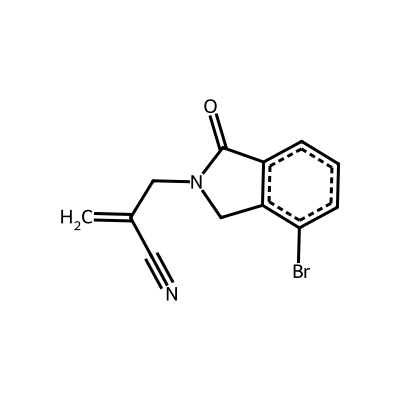 C=C(C#N)CN1Cc2c(Br)cccc2C1=O